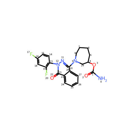 NC(=O)OC1CCCCN(c2nn(-c3ccc(F)cc3F)c(=O)c3ccccc23)C1